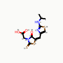 CC(C)Nc1nc(C=C2SC(=S)N(CC(=O)O)C2=O)cs1